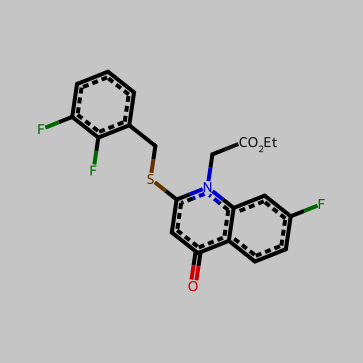 CCOC(=O)Cn1c(SCc2cccc(F)c2F)cc(=O)c2ccc(F)cc21